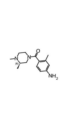 Cc1cc(N)ccc1C(=O)N1CCN(C)[C@H](C)C1